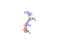 CCN(CCCCN1CCNCCC1=O)C1Cc2ccc(NC(=O)c3ccc(S(C)(=O)=O)cc3)cc2C1